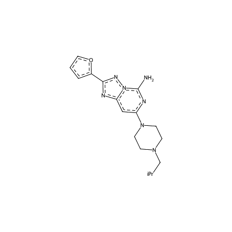 CC(C)CN1CCN(c2cc3nc(-c4ccco4)nn3c(N)n2)CC1